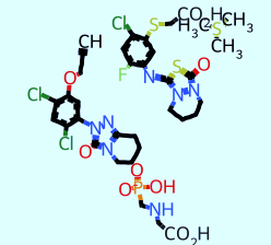 C#CCOc1cc(-n2nc3n(c2=O)CCCC3)c(Cl)cc1Cl.C[S+](C)C.O=C(O)CNCP(=O)([O-])O.O=C(O)CSc1cc(N=c2sc(=O)n3n2CCCC3)c(F)cc1Cl